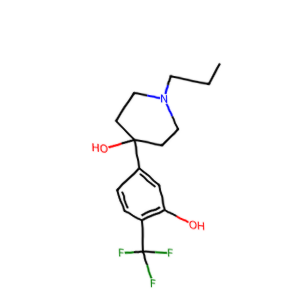 CCCN1CCC(O)(c2ccc(C(F)(F)F)c(O)c2)CC1